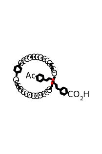 CC(=O)c1ccc(/C=C/c2cc3c(/C=C/c4ccc(C(=O)O)cc4)cc2OCCOCCOCCOCCOc2ccc(cc2)OCCOCCOCCOCCO3)cc1